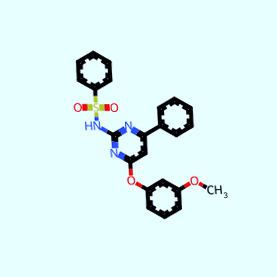 COc1cccc(Oc2cc(-c3ccccc3)nc(NS(=O)(=O)c3ccccc3)n2)c1